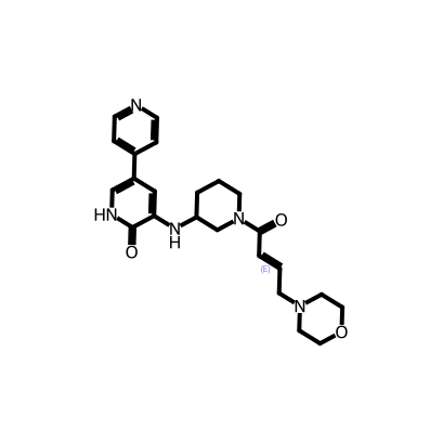 O=C(/C=C/CN1CCOCC1)N1CCCC(Nc2cc(-c3ccncc3)c[nH]c2=O)C1